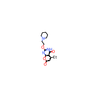 CCc1cc(=O)oc2nc(OCCN3CCCCC3)[nH]c(=O)c12